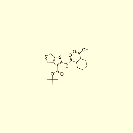 CC(C)(C)OC(=O)c1c(NC(=O)C2CCCCC2C(=O)O)sc2c1CSC2